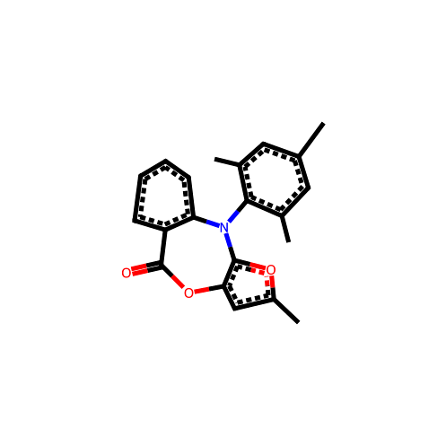 Cc1cc(C)c(N2c3ccccc3C(=O)Oc3cc(C)oc32)c(C)c1